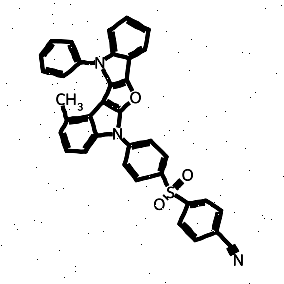 Cc1cccc2c1c1c(oc3c4ccccc4n(-c4ccccc4)c31)n2-c1ccc(S(=O)(=O)c2ccc(C#N)cc2)cc1